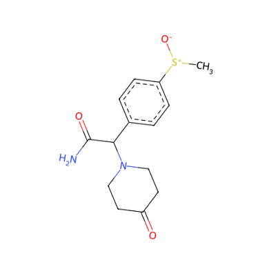 C[S+]([O-])c1ccc(C(C(N)=O)N2CCC(=O)CC2)cc1